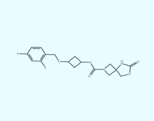 O=C1NC2(CO1)CN(C(=O)OC1CC(OCc3ccc(F)cc3F)C1)C2